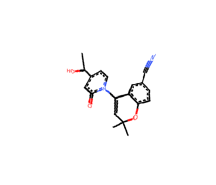 CC(O)c1ccn(C2=CC(C)(C)Oc3ccc(C#N)cc32)c(=O)c1